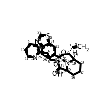 C=C[C@H]1CN(CCc2ccccn2)C(=O)[C@@H]2CCC[C@H]1N2S(=O)(=O)c1ccc2ncsc2c1